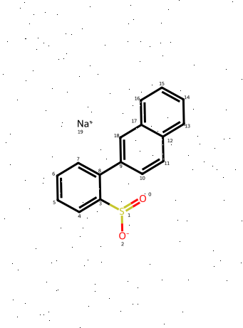 O=S([O-])c1ccccc1-c1ccc2ccccc2c1.[Na+]